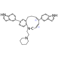 C1=C\C(c2ccc3[nH]ccc3c2)=C/CCc2cc(-c3ccc4[nH]ccc4c3)ccc2N(CCN2CCCCC2)C/1